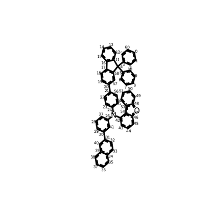 c1ccc(C2(c3ccccc3)c3ccccc3-c3ccc(-c4ccc(N(c5cccc(-c6ccc7ccccc7c6)c5)c5cccc6oc7ccccc7c56)cc4)cc32)cc1